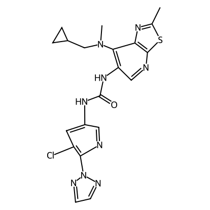 Cc1nc2c(N(C)CC3CC3)c(NC(=O)Nc3cnc(-n4nccn4)c(Cl)c3)cnc2s1